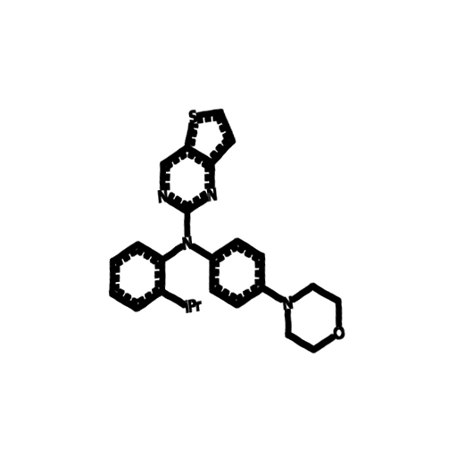 CC(C)c1ccccc1N(c1ccc(N2CCOCC2)cc1)c1ncc2sccc2n1